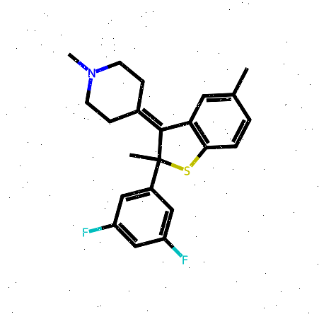 Cc1ccc2c(c1)C(=C1CCN(C)CC1)C(C)(c1cc(F)cc(F)c1)S2